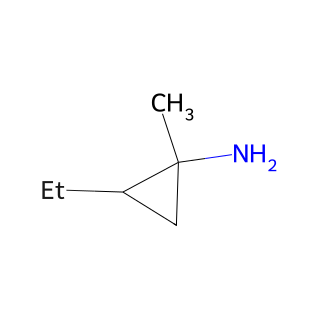 CCC1CC1(C)N